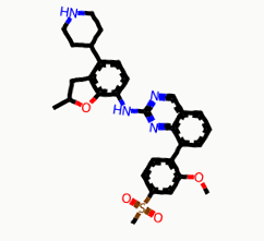 COc1cc(S(C)(=O)=O)ccc1-c1cccc2cnc(Nc3ccc(C4CCNCC4)c4c3OC(C)C4)nc12